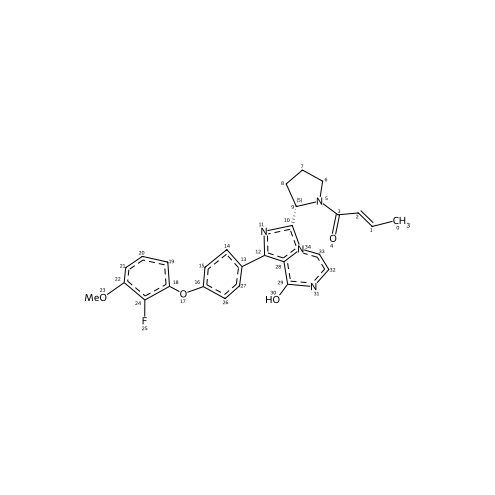 CC=CC(=O)N1CCC[C@H]1c1nc(-c2ccc(Oc3cccc(OC)c3F)cc2)c2c(O)nccn12